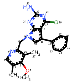 COc1c(C)cnc(Cn2cc(-c3ccccc3)c3c(Cl)nc(N)nc32)c1C